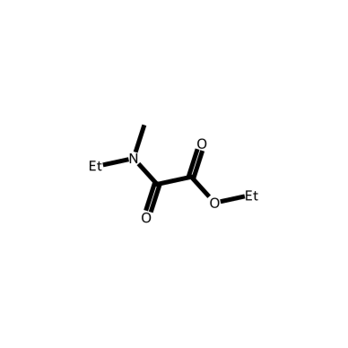 CCOC(=O)C(=O)N(C)CC